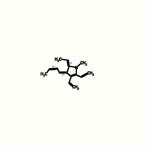 C=Cc1c(C=C)n(C)c(=C/C)/c1=C\C=C/C